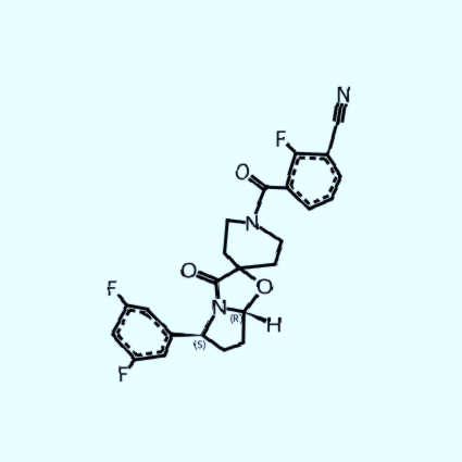 N#Cc1cccc(C(=O)N2CCC3(CC2)O[C@@H]2CC[C@@H](c4cc(F)cc(F)c4)N2C3=O)c1F